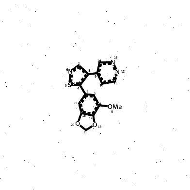 COc1cc(-c2sncc2-c2ccnnc2)cc2c1OCO2